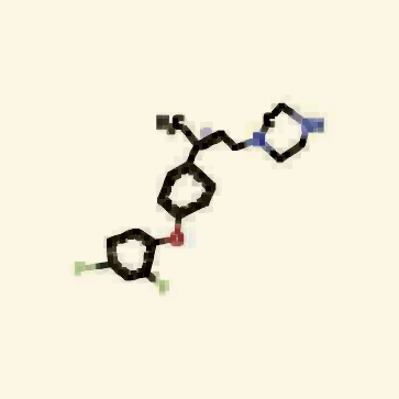 C/C(=C/CN1CCNCC1)c1ccc(Oc2ccc(F)cc2F)cc1